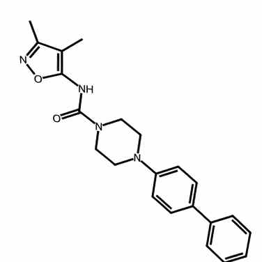 Cc1noc(NC(=O)N2CCN(c3ccc(-c4ccccc4)cc3)CC2)c1C